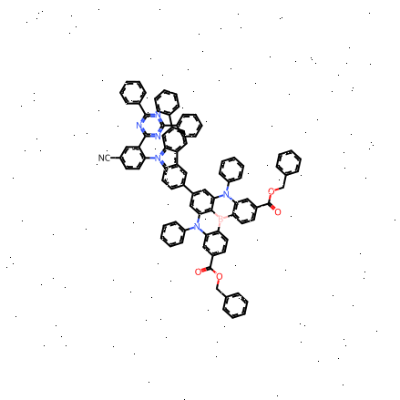 N#Cc1ccc(-n2c3ccc(-c4cc5c6c(c4)N(c4ccccc4)c4cc(C(=O)OCc7ccccc7)ccc4B6c4ccc(C(=O)OCc6ccccc6)cc4N5c4ccccc4)cc3c3ccc(-c4ccccc4)cc32)c(-c2nc(-c3ccccc3)nc(-c3ccccc3)n2)c1